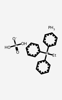 CC[P+](c1ccccc1)(c1ccccc1)c1ccccc1.O=P([O-])(O)O.P